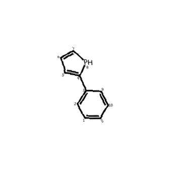 c1ccc(-c2ccc[pH]2)cc1